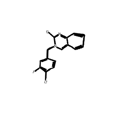 Fc1cc(CN2C=c3ccccc3=NC2Cl)ccc1Cl